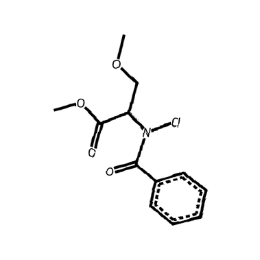 COCC(C(=O)OC)N(Cl)C(=O)c1ccccc1